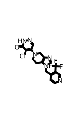 O=c1[nH]ncc(N2CCc3c(ncn3Cc3ccncc3C(F)(F)F)C2)c1Cl